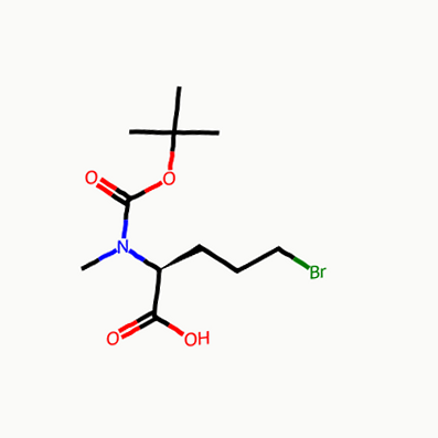 CN(C(=O)OC(C)(C)C)[C@@H](CCCBr)C(=O)O